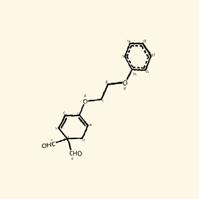 O=CC1(C=O)C=CC(OCCOc2ccccc2)=CC1